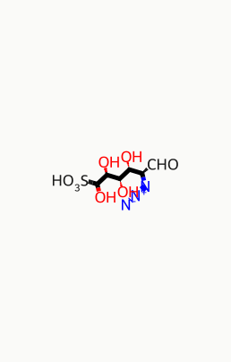 [N-]=[N+]=N[C@H](C=O)[C@@H](O)[C@H](O)[C@H](O)C(O)S(=O)(=O)O